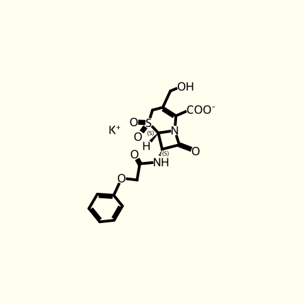 O=C(COc1ccccc1)N[C@H]1C(=O)N2C(C(=O)[O-])=C(CO)CS(=O)(=O)[C@@H]12.[K+]